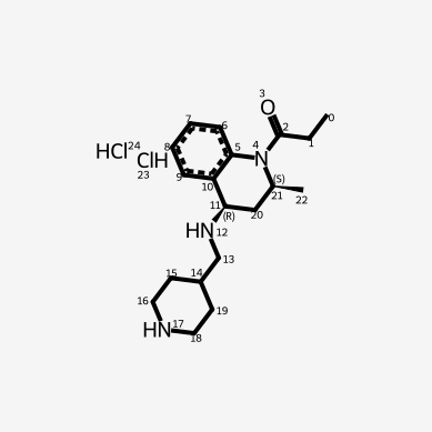 CCC(=O)N1c2ccccc2[C@H](NCC2CCNCC2)C[C@@H]1C.Cl.Cl